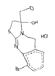 Cl.OC1(CCl)CSC2=Nc3c(Br)cccc3CN21